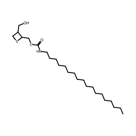 CCCCCCCCCCCCCCCCCCNC(=O)OCC1SCC1CO